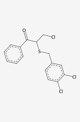 O=C(c1ccccc1)C(CCl)SCc1ccc(Cl)c(Cl)c1